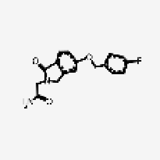 NC(=O)CN1Cc2cc(OCc3ccc(F)cc3)ccc2C1=O